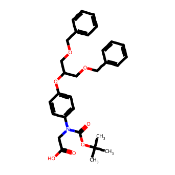 CC(C)(C)OC(=O)N(CC(=O)O)c1ccc(OC(COCc2ccccc2)COCc2ccccc2)cc1